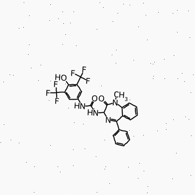 CN1C(=O)C(NC(=O)Nc2cc(C(F)(F)F)c(O)c(C(F)(F)F)c2)N=C(c2ccccc2)c2ccccc21